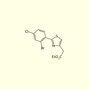 CCOC(=O)Cc1csc(-c2ccc(Cl)cc2Br)n1